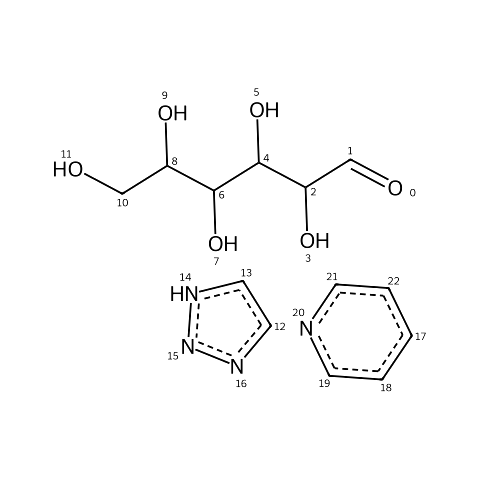 O=CC(O)C(O)C(O)C(O)CO.c1c[nH]nn1.c1ccncc1